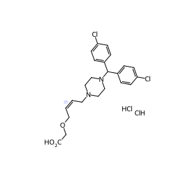 Cl.Cl.O=C(O)COC/C=C\CN1CCN(C(c2ccc(Cl)cc2)c2ccc(Cl)cc2)CC1